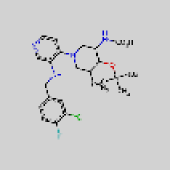 CC1CN(c2ccncc2NCc2ccc(F)c(Cl)c2)CC(NC(=O)O)C1O[Si](C)(C)C(C)(C)C